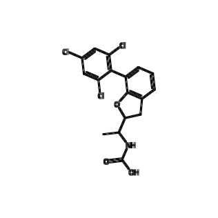 CC(NC(=O)O)C1Cc2cccc(-c3c(Cl)cc(Cl)cc3Cl)c2O1